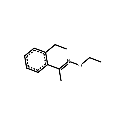 CCON=C(C)c1ccccc1CC